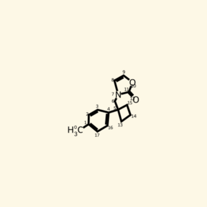 Cc1ccc(C2(Cn3ccoc3=O)CCC2)cc1